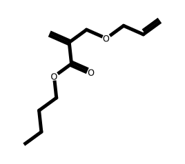 C=CCOCC(=C)C(=O)OCCCC